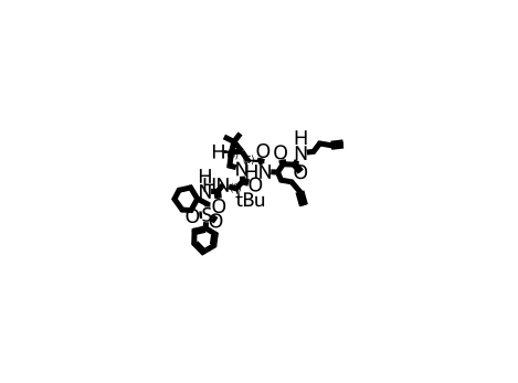 C#CCCNC(=O)C(=O)C(CCC#C)NC(=O)[C@@H]1C2[C@H](CN1C(=O)[C@@H](NC(=O)NC1(CS(=O)(=O)c3ccccc3)CCCCC1)C(C)(C)C)C2(C)C